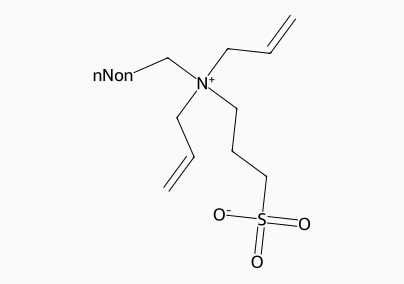 C=CC[N+](CC=C)(CCCCCCCCCC)CCCS(=O)(=O)[O-]